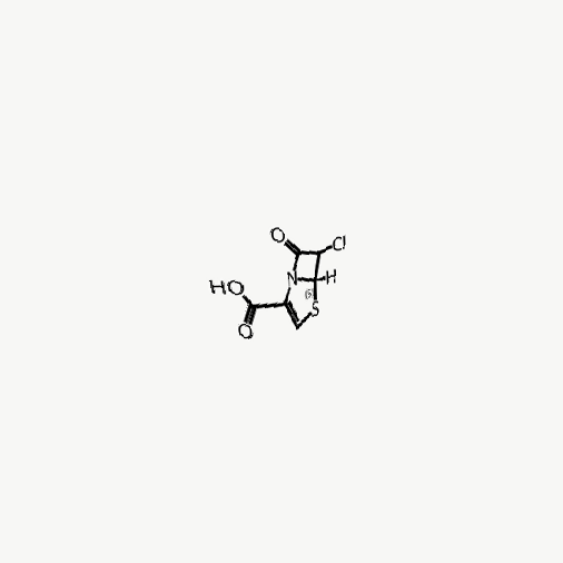 O=C(O)C1=CS[C@H]2C(Cl)C(=O)N12